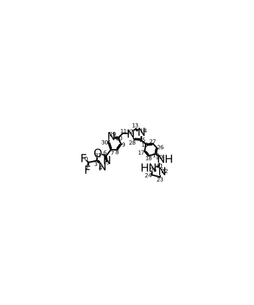 FC(F)c1nnc(-c2ccc(Cn3cnc(-c4ccc(NC5=NCCN5)cc4)c3)nc2)o1